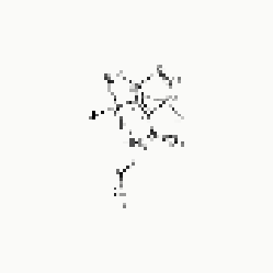 [2H]CCNC(=O)C1=C(C(F)(F)F)C2(C)C=CC1(C)O2